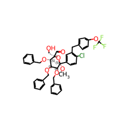 CO[C@@]1(c2ccc(Cl)c(Cc3ccc(OC(F)(F)F)cc3)c2)O[C@@](C=O)(CO)[C@@H](OCc2ccccc2)[C@H](OCc2ccccc2)[C@H]1OCc1ccccc1